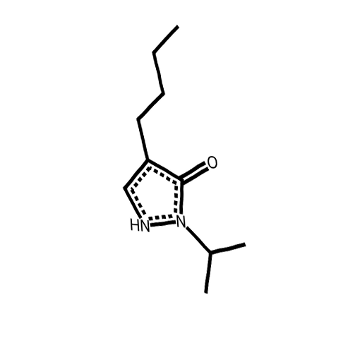 CCCCc1c[nH]n(C(C)C)c1=O